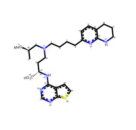 CO[C@H](C)CN(CCCCc1ccc2c(n1)NCCC2)CC[C@H](Nc1ncnc2sccc12)C(=O)O